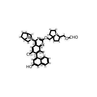 O=COCC1CCC2(COc3nc(N4CC5CCC(C4)N5)c4cc(Cl)c(-c5cc(O)cc6ccccc56)c(F)c4n3)CCCN12